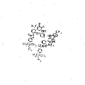 Cc1[nH]c(=O)c(Nc2cccnn2)cc1-c1cccc(NC(=O)c2ccc(C(C)(C)C)cc2)c1C.Cc1cc(Nc2cc(-c3cccc(NC(=O)c4ccc(C(C)(C)C)cc4)c3C)c(C)[nH]c2=O)no1